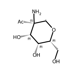 CC(=O)[C@]1(N)[CH]O[C@H](CO)[C@H](O)[C@@H]1O